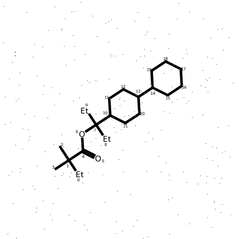 CCC(C)(C)C(=O)OC(CC)(CC)C1CCC(C2CCCCC2)CC1